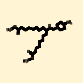 COC(=O)CCCCCCCC(CCCCCCCC(=O)OC)NCC1CCN(C)CC1